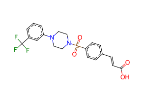 O=C(O)C=Cc1ccc(S(=O)(=O)N2CCN(c3cccc(C(F)(F)F)c3)CC2)cc1